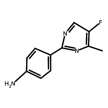 Cc1nc(-c2ccc(N)cc2)ncc1F